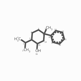 CC(C)C1CCC(C)(c2ccccc2)CC1O